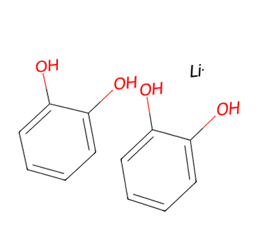 Oc1ccccc1O.Oc1ccccc1O.[Li]